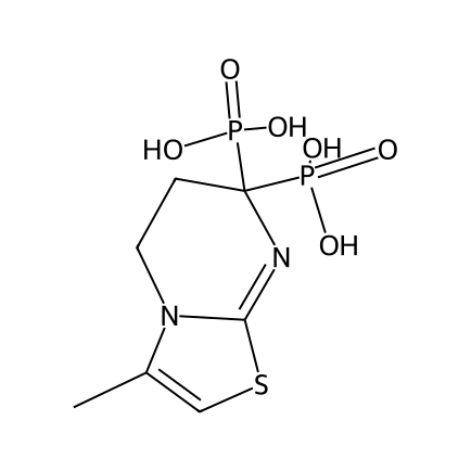 CC1=CSC2=NC(P(=O)(O)O)(P(=O)(O)O)CCN12